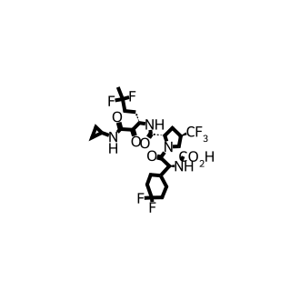 CC(F)(F)CC[C@H](NC(=O)[C@@H]1C[C@@H](C(F)(F)F)CN1C(=O)[C@@H](NC(=O)O)C1CCC(F)(F)CC1)C(=O)C(=O)NC1CC1